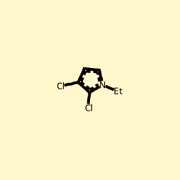 CCn1ccc(Cl)c1Cl